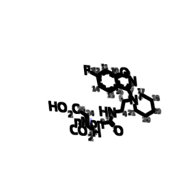 CCCCCCCCCC(=O)NCC[N+]1(c2noc3cc(F)ccc23)CCCCC1.O=C(O)/C=C/C(=O)O